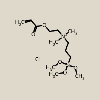 C=CC(=O)OCC[N+](C)(C)CCC[Si](OC)(OC)OC.[Cl-]